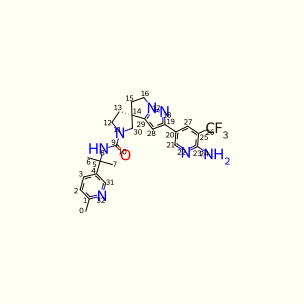 Cc1ccc(C(C)(C)NC(=O)N2CC[C@@]3(CCn4nc(-c5cnc(N)c(C(F)(F)F)c5)cc43)C2)cn1